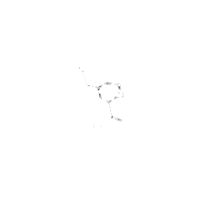 NCc1ccnc(C(=O)O)c1